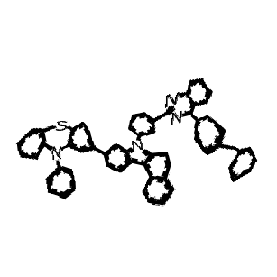 c1ccc(-c2ccc(-c3nc(-c4cccc(-n5c6cc(-c7ccc8c(c7)N(c7ccccc7)c7ccccc7S8)ccc6c6c7ccccc7ccc65)c4)nc4ccccc34)cc2)cc1